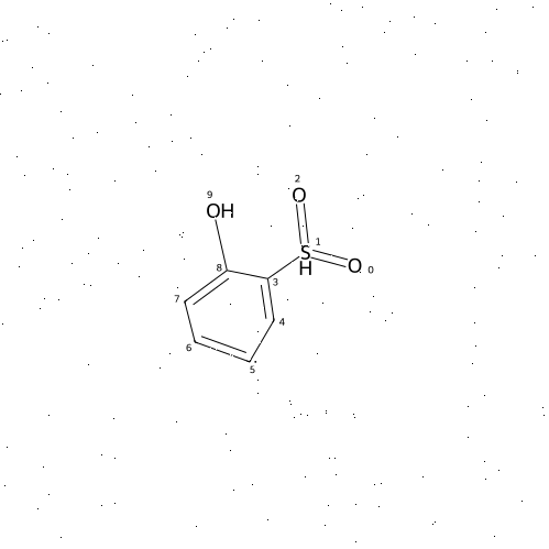 O=[SH](=O)c1c[c]ccc1O